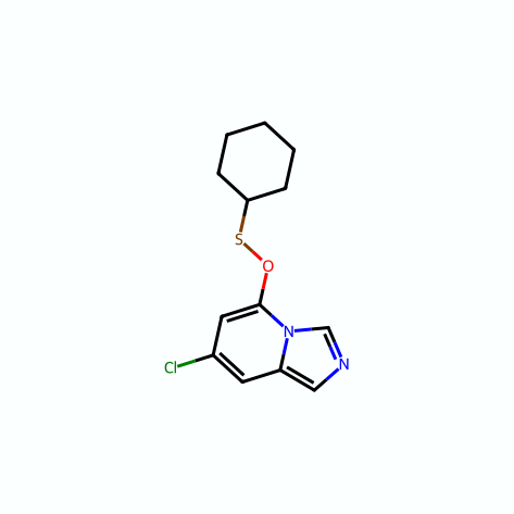 Clc1cc(OSC2CCCCC2)n2cncc2c1